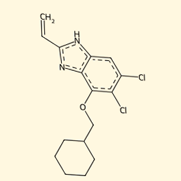 C=Cc1nc2c(OCC3CCCCC3)c(Cl)c(Cl)cc2[nH]1